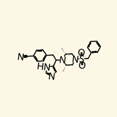 C[C@@H]1CN(S(=O)(=O)Cc2ccccc2)C[C@H](C)N1C(Cc1ccc(C#N)cc1)c1cnc[nH]1